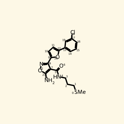 CSCCCNC(=O)c1c(-c2ccc(-c3cccc(Cl)c3)o2)noc1N